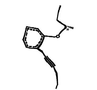 CCC#Cc1ccccc1O[C@@H](C)CC